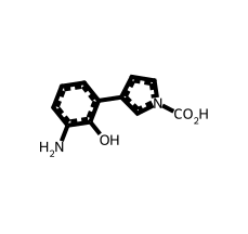 Nc1cccc(-c2ccn(C(=O)O)c2)c1O